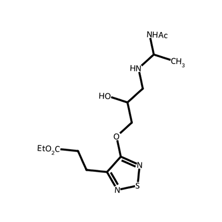 CCOC(=O)CCc1nsnc1OCC(O)CNC(C)NC(C)=O